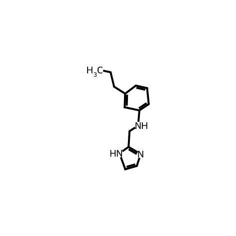 CCCc1cccc(NCc2ncc[nH]2)c1